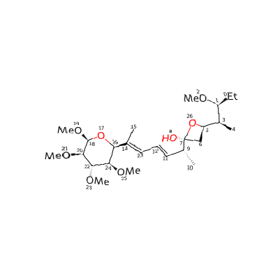 CC[C@H](OC)[C@@H](C)[C@H]1C[C@@](O)([C@H](C)/C=C/C=C(\C)[C@@H]2O[C@H](OC)[C@H](OC)[C@@H](OC)[C@@H]2OC)O1